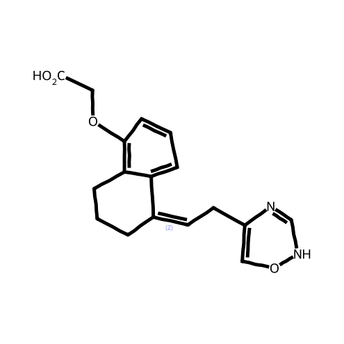 O=C(O)COc1cccc2c1CCC/C2=C/CC1=CONC=N1